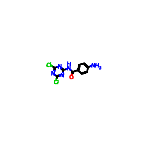 Nc1ccc(C(=O)Nc2nc(Cl)nc(Cl)n2)cc1